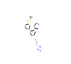 O=S(=O)(c1cccc(-c2ccc(OCCCn3cnnc3)c3[nH]c4ncc(Cl)cc4c23)c1)C1CC1